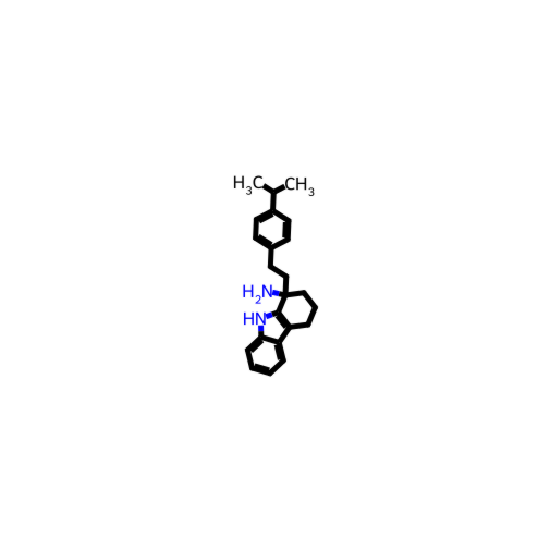 CC(C)c1ccc(CCC2(N)CCCc3c2[nH]c2ccccc32)cc1